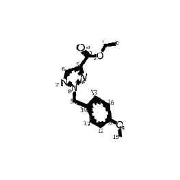 CCOC(=O)c1cnn(Cc2ccc(OC)cc2)n1